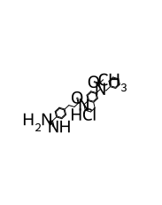 CC(=O)N(Cc1ccccc1)c1ccc2c(c1)CCCN2C(=O)CCc1ccc(C(=N)N)cc1.Cl